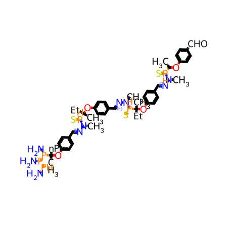 CCCC(C)(Oc1ccc(/C=N/N(C)[PH](=S)C(C)(CC)Oc2ccc(/C=N/N(C)[PH](=S)C(C)(CC)Oc3ccc(/C=N/N(C)[PH](=S)C(C)Oc4ccc(C=O)cc4)cc3)cc2)cc1)P(N)P(N)PN